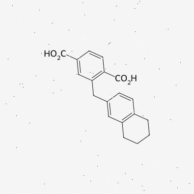 O=C(O)c1ccc(C(=O)O)c(Cc2ccc3c(c2)CCCC3)c1